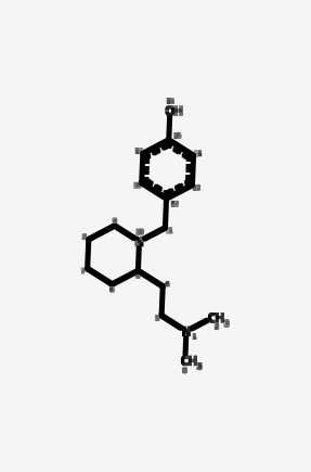 CN(C)CCC1CCCCN1Cc1ccc(O)cc1